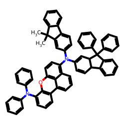 CC1(C)c2ccccc2-c2ccc(N(C3=CC4C(C=C3)c3ccccc3C4(c3ccccc3)c3ccccc3)c3ccc4c5c(cccc35)-c3cccc(N(c5ccccc5)c5ccccc5)c3O4)cc21